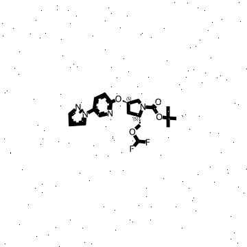 CC(C)(C)OC(=O)N1C[C@@H](Oc2ccc(-n3cccn3)cn2)C[C@H]1COC(F)F